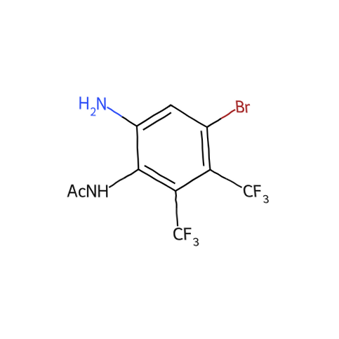 CC(=O)Nc1c(N)cc(Br)c(C(F)(F)F)c1C(F)(F)F